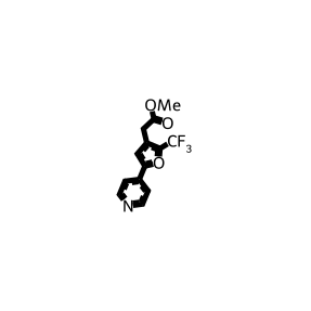 COC(=O)Cc1cc(-c2ccncc2)oc1C(F)(F)F